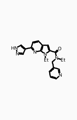 CCN(Cc1cccnc1)C(=O)c1cc2ccc(-c3cn[nH]c3)nc2n1CC